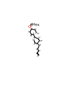 C=CCCC[C@H]1CC[C@H]([C@H]2CC[C@H](OCCCCCC)CC2)CC1